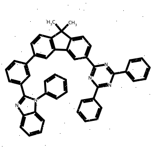 CC1(C)c2ccc(-c3cccc(-c4nc5ccccc5n4-c4ccccc4)c3)cc2-c2cc(-c3nc(-c4ccccc4)nc(-c4ccccc4)n3)ccc21